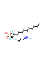 C=CCN.CCCCCCCCCCC(F)C(F)(F)S(=O)(=O)O